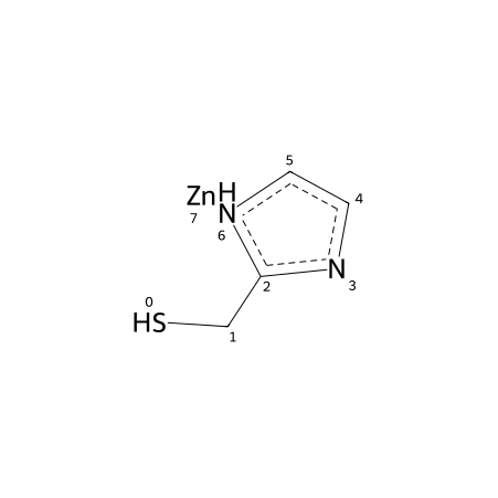 SCc1ncc[nH]1.[Zn]